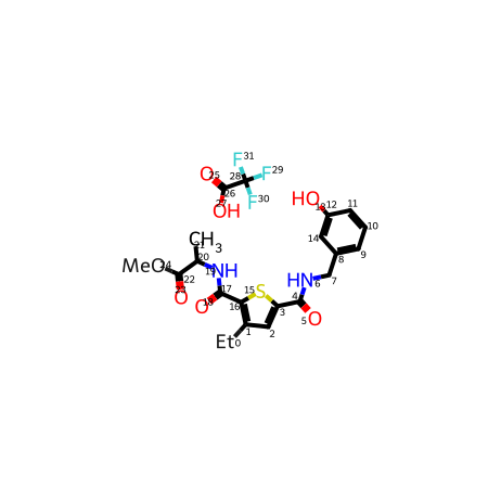 CCc1cc(C(=O)NCc2cccc(O)c2)sc1C(=O)NC(C)C(=O)OC.O=C(O)C(F)(F)F